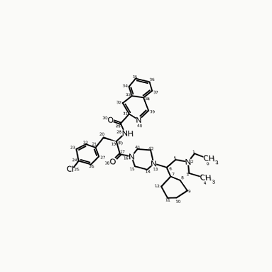 CCN(CC)CC(C1CCCCC1)N1CCN(C(=O)[C@@H](Cc2ccc(Cl)cc2)NC(=O)c2cc3ccccc3cn2)CC1